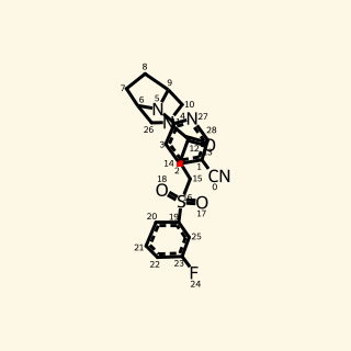 N#Cc1ccc(N2C3CCC2CN(C(=O)CCS(=O)(=O)c2cccc(F)c2)C3)nc1